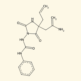 C=CCC1(CC(=C)N)NC(=O)N(NC(=O)Nc2ccccc2)C1=O